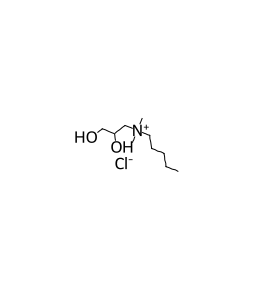 CCCCC[N+](C)(C)CC(O)CO.[Cl-]